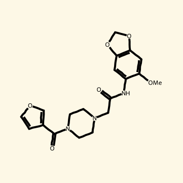 COc1cc2c(cc1NC(=O)CN1CCN(C(=O)c3ccoc3)CC1)OCO2